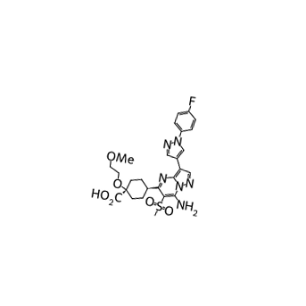 COCCO[C@]1(C(=O)O)CC[C@@H](c2nc3c(-c4cnn(-c5ccc(F)cc5)c4)cnn3c(N)c2S(C)(=O)=O)CC1